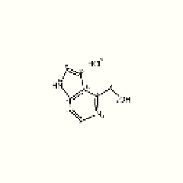 Cl.OCc1nccc2[nH]ccc12